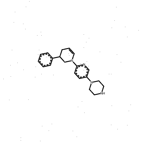 C1=CN(c2ccc(N3CCNCC3)cn2)CC(c2ccccc2)C1